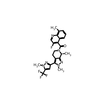 Cc1cccc2c(C(=O)N3CCc4c(nn(C)c4-c4cc(C(F)(F)F)n(C)n4)[C@@H]3C)c(F)cnc12